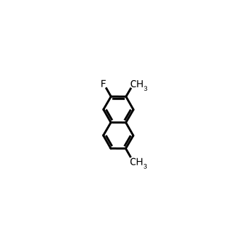 Cc1ccc2cc(F)c(C)cc2c1